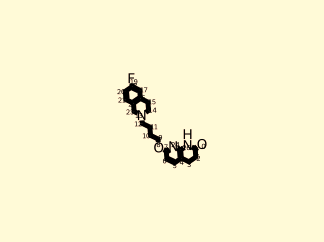 O=C1CCc2ccc(OCCCCN3CCc4cc(F)ccc4C3)nc2N1